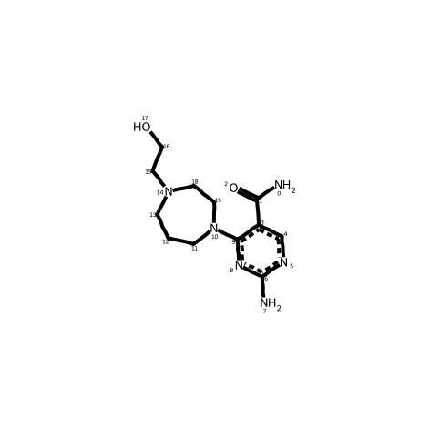 NC(=O)c1cnc(N)nc1N1CCCN(CCO)CC1